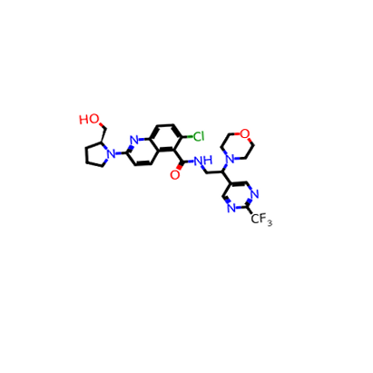 O=C(NCC(c1cnc(C(F)(F)F)nc1)N1CCOCC1)c1c(Cl)ccc2nc(N3CCC[C@H]3CO)ccc12